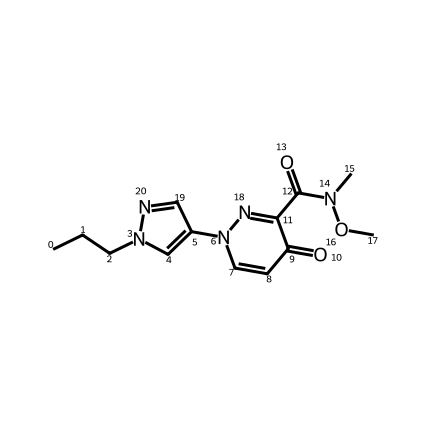 CCCn1cc(-n2ccc(=O)c(C(=O)N(C)OC)n2)cn1